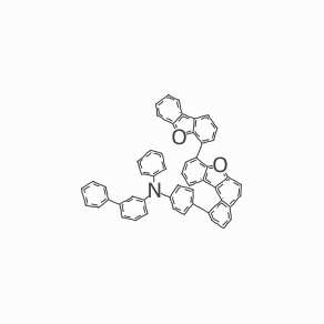 c1ccc(-c2cccc(N(c3ccccc3)c3ccc(-c4cccc5ccc6oc7c(-c8cccc9c8oc8ccccc89)cccc7c6c45)cc3)c2)cc1